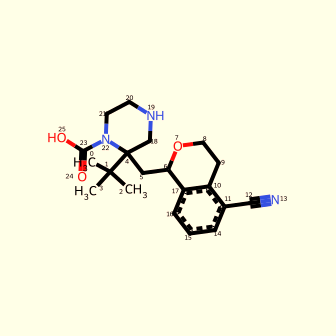 CC(C)(C)C1(CC2OCCc3c(C#N)cccc32)CNCCN1C(=O)O